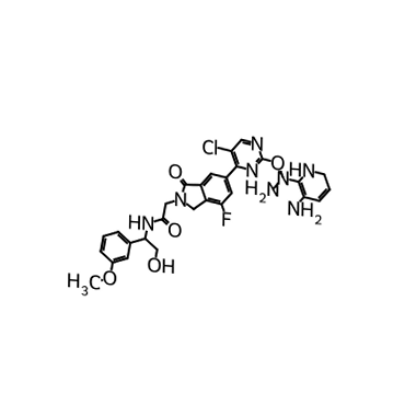 COc1cccc(C(CO)NC(=O)CN2Cc3c(F)cc(-c4nc(ON(N)C5=C(N)C=CCN5)ncc4Cl)cc3C2=O)c1